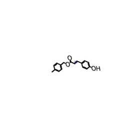 Cc1ccc(COC(=O)/C=C/c2ccc(O)cc2)cc1